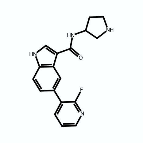 O=C(NC1CCNC1)c1c[nH]c2ccc(-c3cccnc3F)cc12